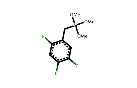 CO[Si](Cc1cc(F)c(F)cc1F)(OC)OC